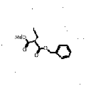 COC(=O)[C@@H](CI)C(=O)OCc1ccccc1